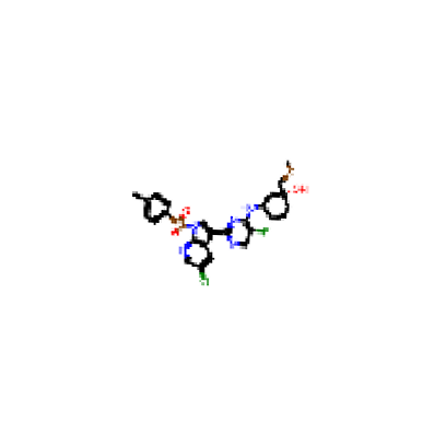 CSC[C@@]1(O)CCCC(Nc2nc(-c3cn(S(=O)(=O)c4ccc(C)cc4)c4ncc(Cl)cc34)ncc2F)C1